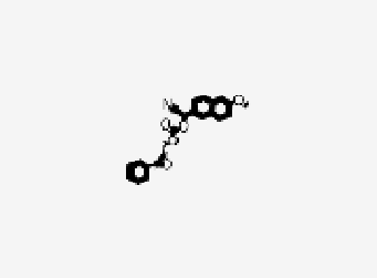 COc1ccc2cc(C(C#N)OC(=O)OC[C@@H]3O[C@H]3c3ccccc3)ccc2c1